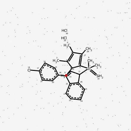 CC1=C(C)C(C)[C]([Zr]([CH3])([CH3])(=[SiH2])[CH]2C=C(c3ccc(Cl)cc3)c3ccccc32)=C1C.Cl.Cl